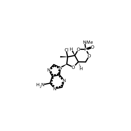 CNP1(=O)OC[C@H]2O[C@@H](n3cnc4c(N)ncnc43)[C@](C)(Cl)[C@@H]2O1